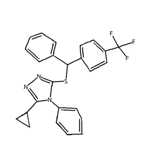 FC(F)(F)c1ccc(C(Sc2nnc(C3CC3)n2-c2cc[c]cc2)c2ccccc2)cc1